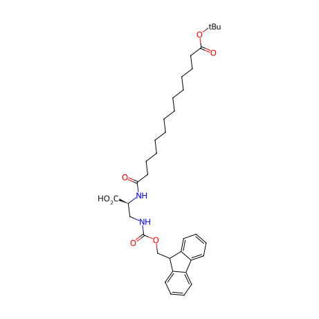 CC(C)(C)OC(=O)CCCCCCCCCCCCC(=O)N[C@@H](CNC(=O)OCC1c2ccccc2-c2ccccc21)C(=O)O